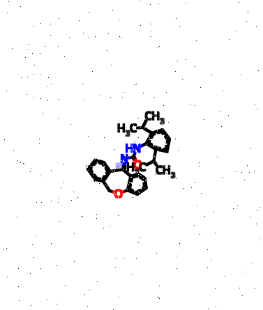 CC(C)c1cccc(C(C)C)c1NC(=O)/N=C1/c2ccccc2COc2ccccc21